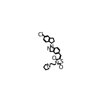 O=C1SC(=Cc2ccc3c(cnn3[C@H]3CCc4cc(Cl)ccc43)c2)C(=O)N1CCN1CCCC1